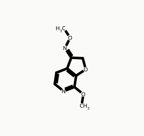 CON=C1COc2c1ccnc2OC